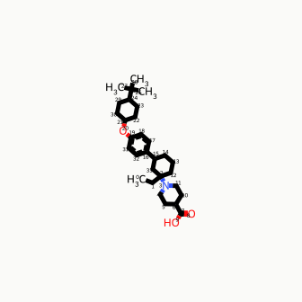 CCC1(N2CCC(C(=O)O)CC2)CCCC(c2ccc(OC3CCC(C(C)(C)C)CC3)cc2)C1